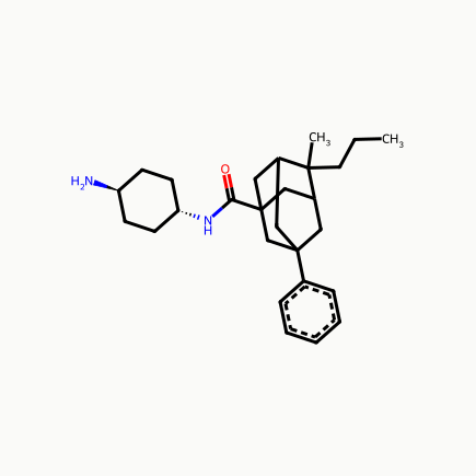 CCCC1(C)C2CC3(C(=O)N[C@H]4CC[C@H](N)CC4)CC1CC(c1ccccc1)(C2)C3